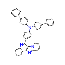 c1ccc(-c2ccc(N(c3ccc(-c4ccccc4)cc3)c3ccc(-c4nc5ccccc5c5nc6ccccn6c45)cc3)cc2)cc1